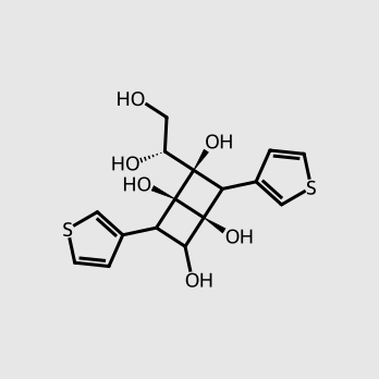 OC[C@@H](O)[C@]1(O)C(c2ccsc2)[C@]2(O)C(O)C(c3ccsc3)[C@@]21O